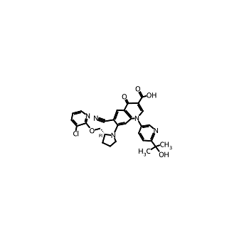 CC(C)(O)c1ccc(-n2cc(C(=O)O)c(=O)c3cc(C#N)c(N4CCC[C@@H]4COc4ncccc4Cl)cc32)cn1